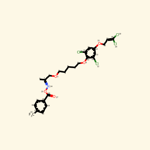 CC(COCCCCCOc1c(Cl)cc(OCC=C(Cl)Cl)cc1Cl)=NOC(=O)c1ccc(C(F)(F)F)cc1